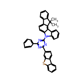 CC1(C)c2ccccc2-c2ccc3c(c21)c1ccccc1n3-c1nc(-c2ccccc2)nc(-c2ccc3c(c2)sc2ccccc23)n1